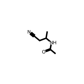 CC(=O)NC(C)CC#N